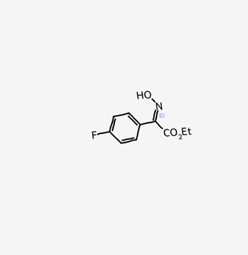 CCOC(=O)/C(=N/O)c1ccc(F)cc1